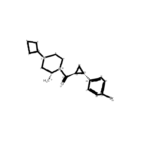 C[C@@H]1CN(C2CCC2)CCN1C(=O)[C@H]1C[C@@H]1c1ccc(Br)cc1